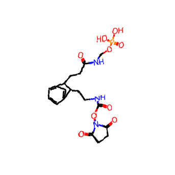 O=C(CCC1c2cccc(c2)C1CCNC(=O)ON1C(=O)CCC1=O)NCOP(=O)(O)O